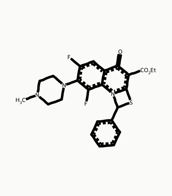 CCOC(=O)c1c2n(c3c(F)c(N4CCN(C)CC4)c(F)cc3c1=O)C(c1ccccc1)S2